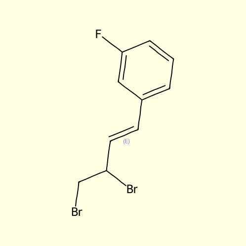 Fc1cccc(/C=C/C(Br)CBr)c1